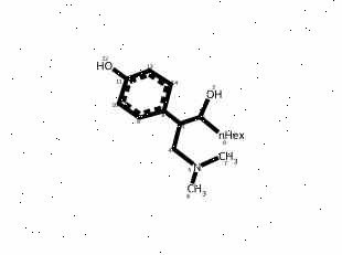 CCCCCCC(O)C(CN(C)C)c1ccc(O)cc1